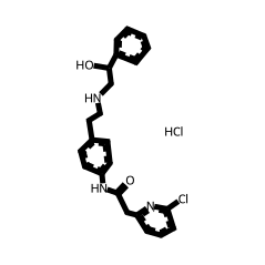 Cl.O=C(Cc1cccc(Cl)n1)Nc1ccc(CCNCC(O)c2ccccc2)cc1